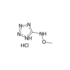 CONc1nnn[nH]1.Cl